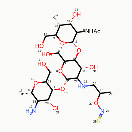 CC(=O)NC1[C@H](O[C@@H]2C(CO)O[C@@H](O[C@@H]3C(CO)O[C@@H](C)C(N)[C@H]3O)C(NCC(C)ON=S)[C@H]2O)OC(CO)[C@H](C)[C@@H]1O